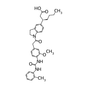 CCCC[C@H](CC(=O)O)c1ccc2c(c1)CCN2C(=O)Cc1ccc(NC(=O)Nc2ccccc2C)c(OC)c1